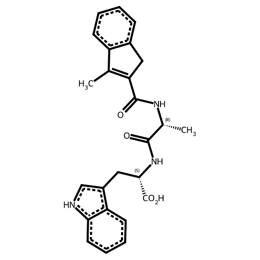 CC1=C(C(=O)N[C@H](C)C(=O)N[C@@H](Cc2c[nH]c3ccccc23)C(=O)O)Cc2ccccc21